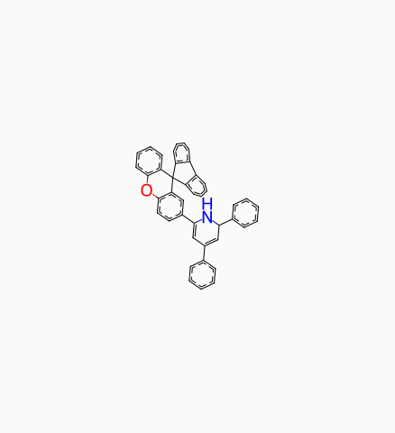 C1=C(c2ccccc2)C=C(c2ccc3c(c2)C2(c4ccccc4O3)c3ccccc3-c3ccccc32)NC1c1ccccc1